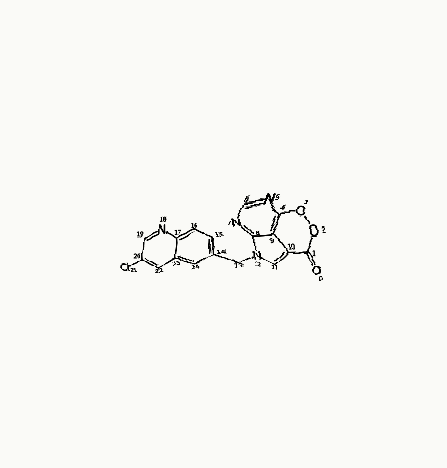 O=C1OOc2ncnc3c2c1cn3Cc1ccc2ncc(Cl)cc2c1